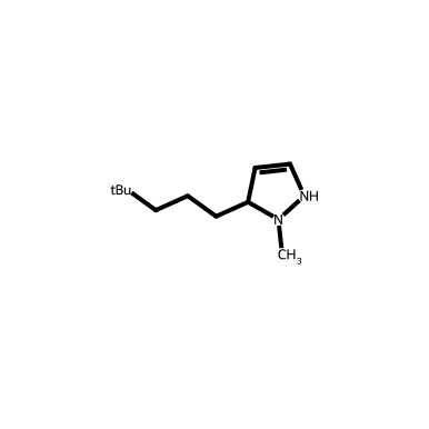 CN1NC=CC1CCCC(C)(C)C